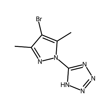 Cc1nn(-c2nnn[nH]2)c(C)c1Br